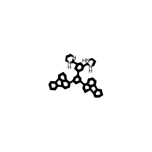 C1=CN=C(c2cc(-c3cc(-c4ccc5c6c(cccc46)-c4ccccc4-5)cc(-c4ccc5c6c(cccc46)-c4ccccc4-5)c3)cc(C3NC=CCN3)c2)NC1